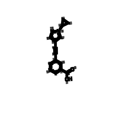 O=C(O)c1cncc(C#Cc2cnn(C3CC3)c2)c1